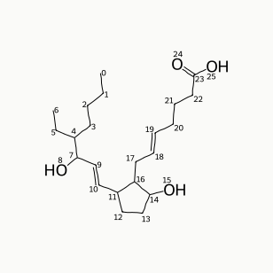 CCCCC(CC)C(O)C=CC1CCC(O)C1CC=CCCCC(=O)O